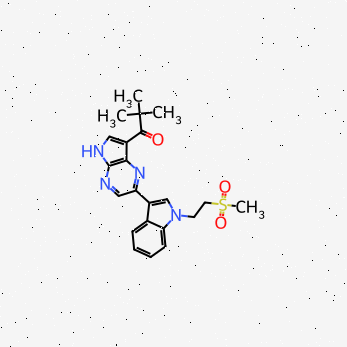 CC(C)(C)C(=O)c1c[nH]c2ncc(-c3cn(CCS(C)(=O)=O)c4ccccc34)nc12